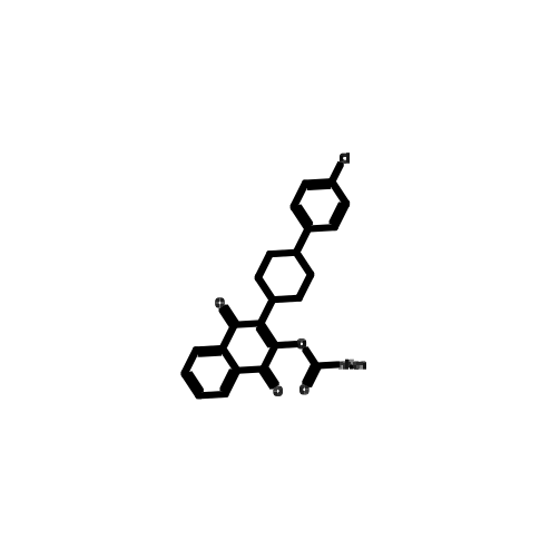 CCCCCCCCCC(=O)OC1=C(C2CCC(c3ccc(Cl)cc3)CC2)C(=O)c2ccccc2C1=O